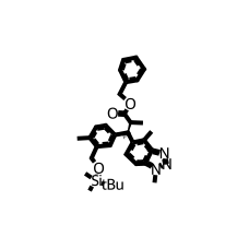 Cc1ccc([C@H](c2ccc3c(nnn3C)c2C)C(C)C(=O)OCc2ccccc2)cc1CO[Si](C)(C)C(C)(C)C